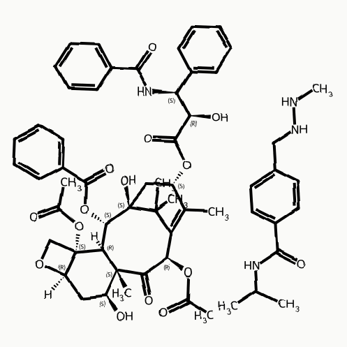 CC(=O)O[C@H]1C(=O)[C@@]2(C)[C@H]([C@H](OC(=O)c3ccccc3)[C@]3(O)C[C@H](OC(=O)[C@H](O)[C@@H](NC(=O)c4ccccc4)c4ccccc4)C(C)=C1C3(C)C)[C@]1(OC(C)=O)CO[C@@H]1C[C@@H]2O.CNNCc1ccc(C(=O)NC(C)C)cc1